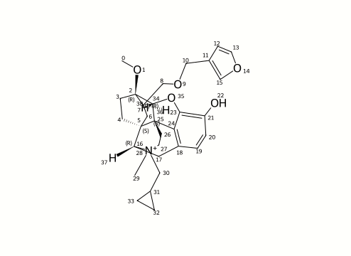 CO[C@]12CC[C@@]3(C[C@@H]1COCc1ccoc1)[C@H]1Cc4ccc(O)c5c4[C@@]3(CC[N+]1(C)CC1CC1)[C@H]2O5